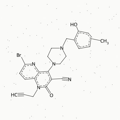 C#CCn1c(=O)c(C#N)c(N2CCN(Cc3ccc(C)cc3O)CC2)c2nc(Br)ccc21